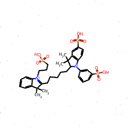 CC1(C)C(CCCCCC2N(c3cccc(S(=O)(=O)O)c3)c3ccc(S(=O)(=O)O)cc3C2(C)C)=[N+](CCCS(=O)(=O)O)c2ccccc21